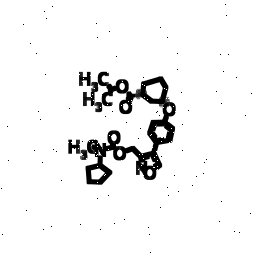 CC(C)OC(=O)[C@@H]1CCC[C@H](Oc2ccc(-c3conc3COC(=O)N(C)C3CCCC3)cc2)C1